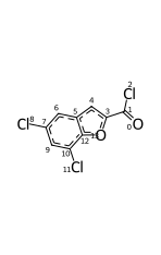 O=C(Cl)c1cc2cc(Cl)cc(Cl)c2o1